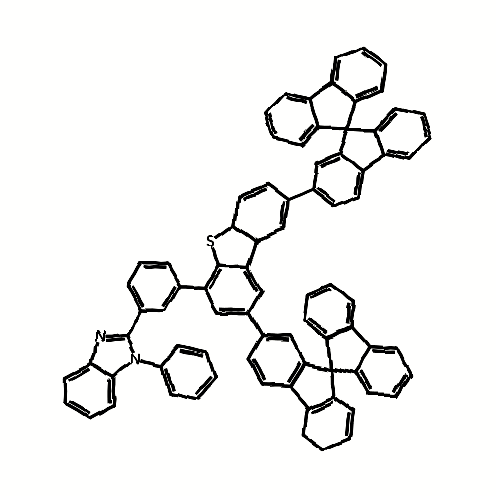 C1=CC2=C(CC1)c1ccc(-c3cc(-c4cccc(-c5nc6ccccc6n5-c5ccccc5)c4)c4c(c3)C3C=C(c5ccc6c(c5)C5(c7ccccc7-c7ccccc75)c5ccccc5-6)C=CC3S4)cc1C21c2ccccc2-c2ccccc21